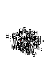 C[C@](O)(CS(=O)(=O)c1ccc(F)cc1)C(=O)Nc1ccc(C#N)c(C(F)(F)F)c1.Cc1c(N)nc([C@H](CC(N)=O)NC[C@H](N)C(N)=O)nc1C(=O)N[C@H](C(=O)N[C@H](C)[C@@H](O)[C@H](C)C(=O)N[C@H](C(=O)NCCc1nc(-c2nc(C(=O)NCCC[S+](C)C)cs2)cs1)[C@@H](C)O)[C@@H](O[C@@H]1O[C@@H](CO)[C@H](O)[C@@H](O)[C@@H]1O[C@@H]1O[C@@H](CO)[C@H](O)[C@@H](OC(N)=O)[C@@H]1O)c1cnc[nH]1